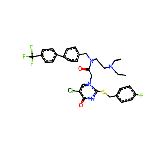 CCN(CC)CCN(Cc1ccc(-c2ccc(C(F)(F)F)cc2)cc1)C(=O)Cn1cc(Cl)c(=O)nc1SCc1ccc(F)cc1